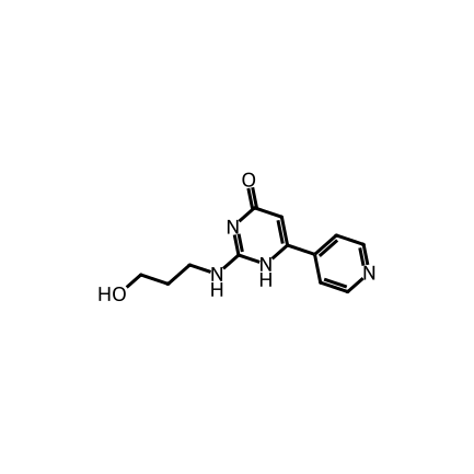 O=c1cc(-c2ccncc2)[nH]c(NCCCO)n1